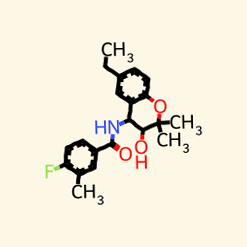 CCc1ccc2c(c1)C(NC(=O)c1ccc(F)c(C)c1)C(O)C(C)(C)O2